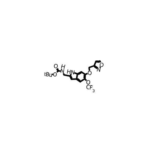 CC(C)(C)OC(=O)NCc1cc2cc(OC(F)(F)F)c(OCc3ccon3)cc2[nH]1